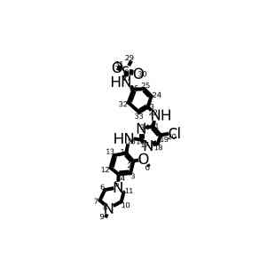 COc1cc(N2CCN(C)CC2)ccc1Nc1ncc(Cl)c(Nc2ccc(NS(C)(=O)=O)cc2)n1